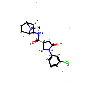 N#CN1C2CCC1C(NC(=O)[C@@H]1CC(=O)N(c3cccc(Cl)c3)C1)C2